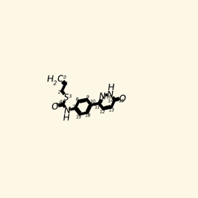 C=CCSC(=O)Nc1ccc(-c2ccc(=O)[nH]n2)cc1